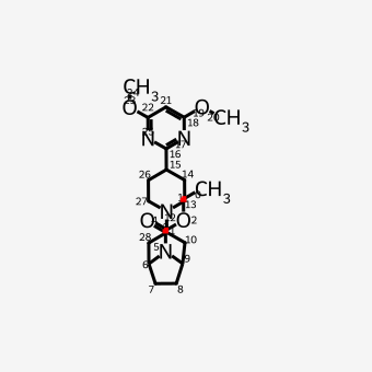 CCOC(=O)N1C2CCC1CC(N1CCC(c3nc(OC)cc(OC)n3)CC1)C2